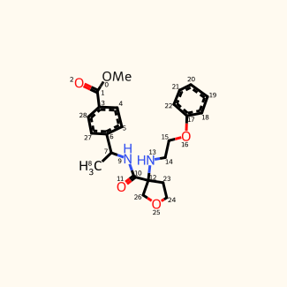 COC(=O)c1ccc(C(C)NC(=O)C2(NCCOc3ccccc3)CCOC2)cc1